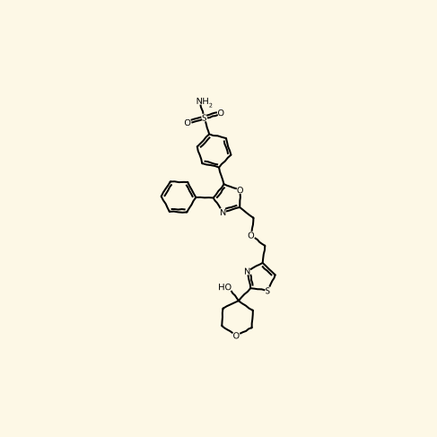 NS(=O)(=O)c1ccc(-c2oc(COCc3csc(C4(O)CCOCC4)n3)nc2-c2ccccc2)cc1